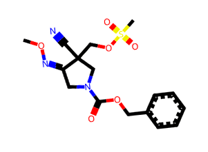 CO/N=C1/CN(C(=O)OCc2ccccc2)CC1(C#N)COS(C)(=O)=O